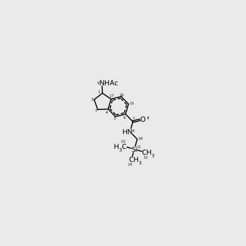 CC(=O)NC1CCc2cc(C(=O)NC[Si](C)(C)C)ccc21